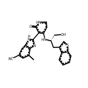 Cc1cc(C#N)cc2[nH]c(-c3c(N[C@H](CO)Cc4csc5ccccc45)cc[nH]c3=O)nc12